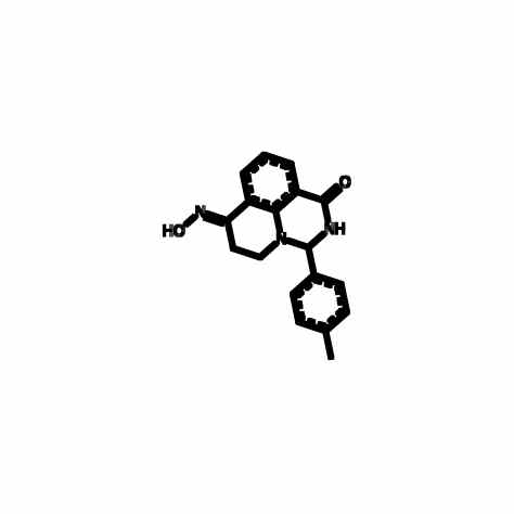 Cc1ccc(C2NC(=O)c3cccc4c3N2CC/C4=N\O)cc1